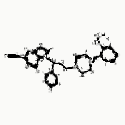 COc1ccccc1N1CCN(CCC(c2ccccc2)n2ccc3cc(C#N)ccc32)CC1